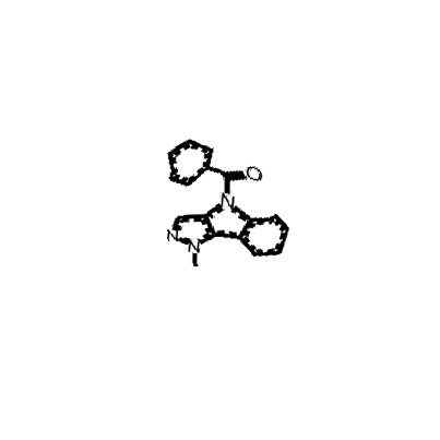 Cn1ncc2c1c1ccccc1n2C(=O)c1ccccc1